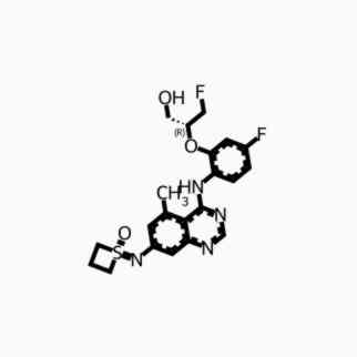 Cc1cc(N=S2(=O)CCC2)cc2ncnc(Nc3ccc(F)cc3O[C@H](CO)CF)c12